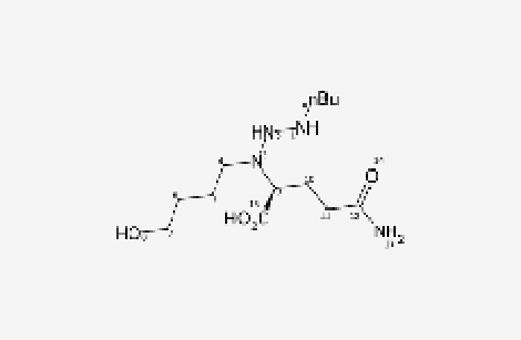 CCCCNNN(CCCCO)[C@@H](CCC(N)=O)C(=O)O